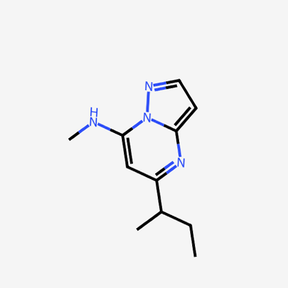 CCC(C)c1cc(NC)n2nccc2n1